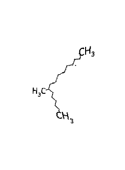 CCC[CH]CCCCCC(C)CCCCCC